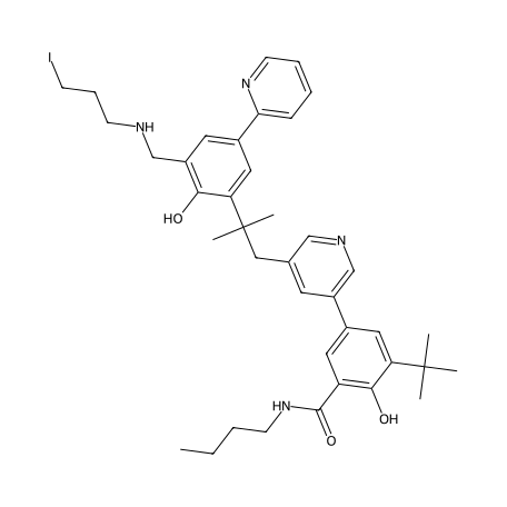 CCCCNC(=O)c1cc(-c2cncc(CC(C)(C)c3cc(-c4ccccn4)cc(CNCCCI)c3O)c2)cc(C(C)(C)C)c1O